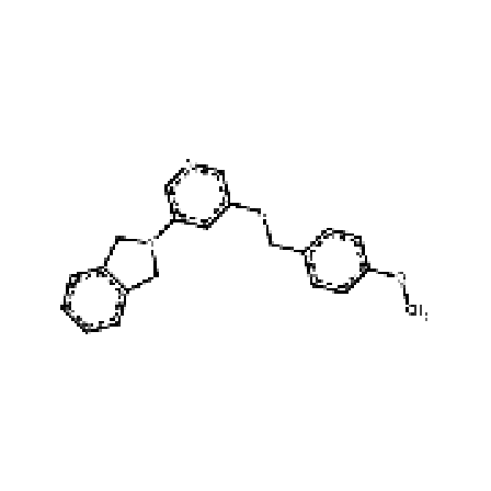 COc1ccc(COc2cncc(N3Cc4ccccc4C3)c2)cc1